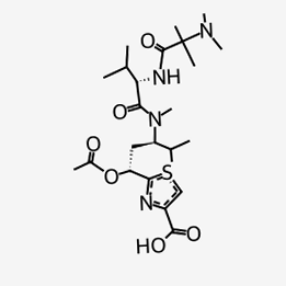 CC(=O)O[C@H](C[C@H](C(C)C)N(C)C(=O)[C@@H](NC(=O)C(C)(C)N(C)C)C(C)C)c1nc(C(=O)O)cs1